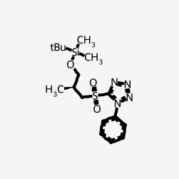 C[C@@H](CO[Si](C)(C)C(C)(C)C)CS(=O)(=O)c1nnnn1-c1ccccc1